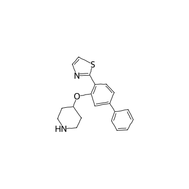 c1ccc(-c2ccc(-c3nccs3)c(OC3CCNCC3)c2)cc1